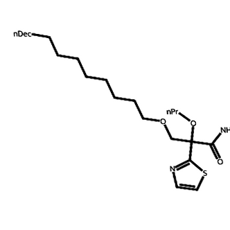 CCCCCCCCCCCCCCCCCCOCC(OCCC)(C(N)=O)c1nccs1